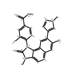 CCc1cc2ncc3c(c2cc1-c1cnn(C)c1)n(-c1ncc(C(=O)NC)cc1F)c(=O)n3C